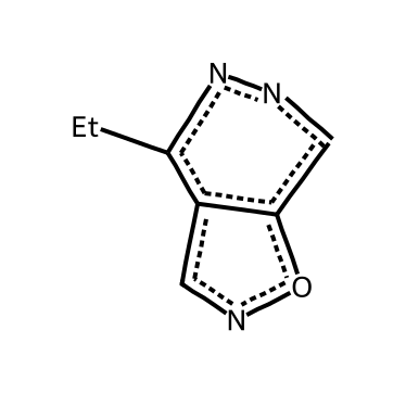 CCc1nncc2oncc12